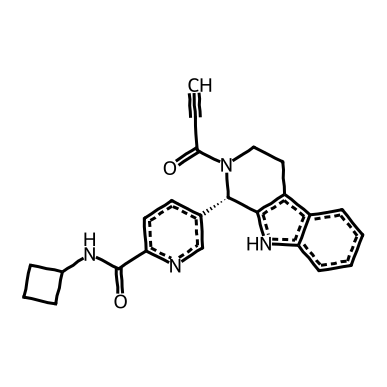 C#CC(=O)N1CCc2c([nH]c3ccccc23)[C@@H]1c1ccc(C(=O)NC2CCC2)nc1